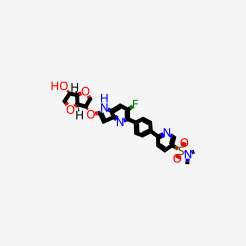 CN(C)S(=O)(=O)c1ccc(-c2ccc(-c3nc4cc(O[C@@H]5CO[C@H]6[C@@H]5OC[C@H]6O)[nH]c4cc3F)cc2)nc1